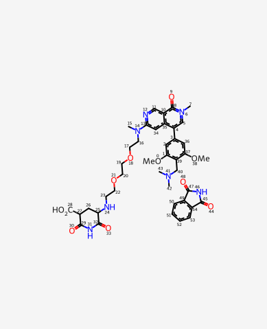 COc1cc(-c2cn(C)c(=O)c3cnc(N(C)CCOCCOCCNC4CC(C(=O)O)C(=O)NC4=O)cc23)cc(OC)c1CN(C)C.O=C1NC(=O)c2ccccc21